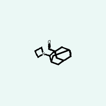 O=CC12CC3CC(CC(C3)C1N1CCC1)C2